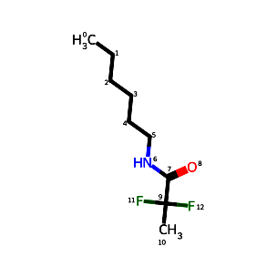 CCCCCCNC(=O)C(C)(F)F